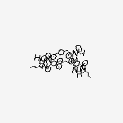 C/C=C/C1=CN2C(=O)c3cc(C)c(OCCCOc4cc5c(cc4OC)C(=O)N4C=C(/C=C/C)C[C@H]4[C@H](O)N5C(=O)OCc4ccc(CC(=O)CNC(=O)CI)cc4)cc3N=C[C@@H]2C1